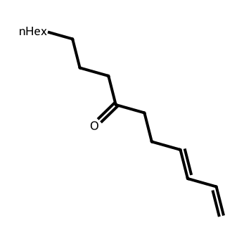 C=CC=CCCC(=O)CCCCCCCCC